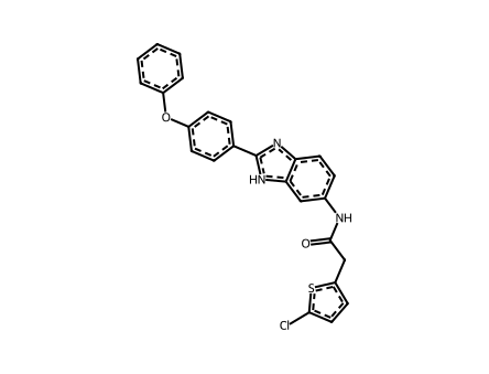 O=C(Cc1ccc(Cl)s1)Nc1ccc2nc(-c3ccc(Oc4ccccc4)cc3)[nH]c2c1